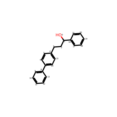 OC(CCc1ccc(-c2ccccc2)cc1)c1ccccc1